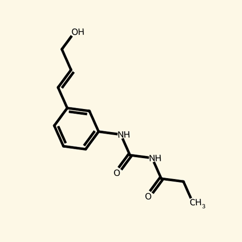 CCC(=O)NC(=O)Nc1cccc(/C=C/CO)c1